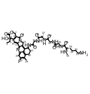 CC[C@@]1(O)C(=O)OCc2c1cc1n(c2=O)Cc2c-1nc1cc(F)c(C)c3c1c2[C@@H](NC(=O)CNC(=O)[C@H](C)NC(=O)CNC(=O)CNC(=O)[C@H](CCCCN)NC)CC3